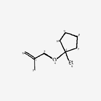 C=C(C)COC1(CC)CCCC1